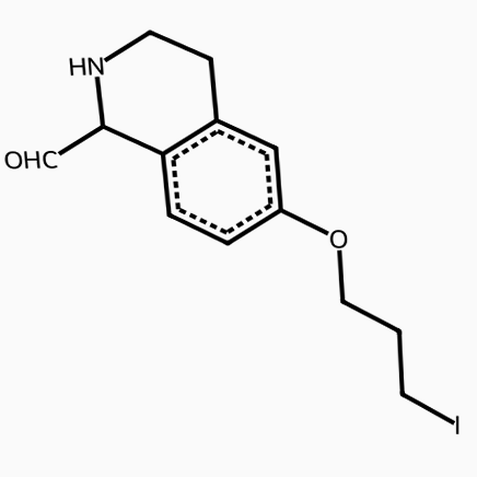 O=CC1NCCc2cc(OCCCI)ccc21